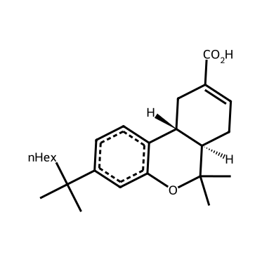 CCCCCCC(C)(C)c1ccc2c(c1)OC(C)(C)[C@@H]1CC=C(C(=O)O)C[C@@H]21